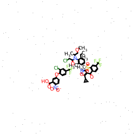 CCc1cccc(C)c1N(C(=O)CCl)C(C)COC.CS(=O)(=O)c1cc(C(F)(F)F)ccc1C(=O)c1cnoc1C1CC1.O=C(O)c1cc(Oc2ccc(C(F)(F)F)cc2Cl)ccc1[N+](=O)[O-]